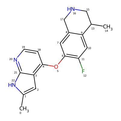 Cc1cc2c(Oc3cc4c(cc3F)C(C)CNC4)ccnc2[nH]1